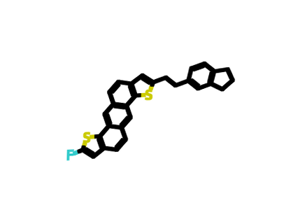 Fc1cc2ccc3cc4c(ccc5cc(CCc6ccc7c(c6)CCC7)sc54)cc3c2s1